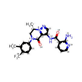 Cc1cc(N2C[C@H](C)n3ncc(NC(=O)c4cccnc4N)c3C2=O)ccc1C(F)(F)F